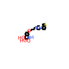 O=C1Nc2cc(OCCCCN3CCN(c4cccc5sccc45)CC3)ccc2[C@@H](O)[C@@H]1O